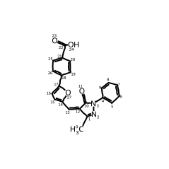 CC1=NN(c2ccccc2)C(=O)/C1=C\c1ccc(-c2ccc(C(=O)O)cc2)o1